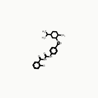 CC(C)C1CCC(C)C(N2OC2c2ccc(NC(=O)NC(=O)c3ccccc3Cl)cc2)C1